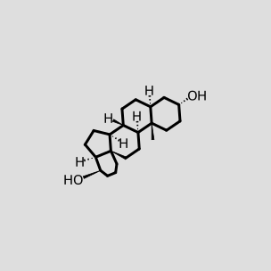 C[C@]12CC[C@@H](O)C[C@@H]1CC[C@@H]1[C@@H]2CC[C@@]23CCC[C@@H](O)[C@H]2CC[C@@H]13